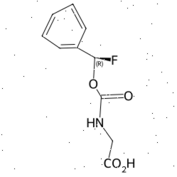 O=C(O)CNC(=O)O[C@H](F)c1ccccc1